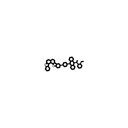 C=Cc1ccccc1C(=C)c1c2ccccc2c(-c2ccc(-c3ccc4oc5c(ccc6ccc7sc8ccccc8c7c65)c4c3)cc2)c2ccccc12